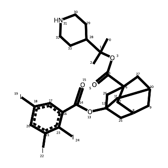 CC(C)(OC(=O)C12CC3CC(CC(OC(=O)c4cc(I)cc(I)c4I)(C3)C1)C2)C1CCNCC1